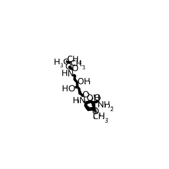 COc1ccc(NC(=O)CCC(O)C(O)CCNC(=O)OC(C)(C)C)c(O)c1C(N)=O